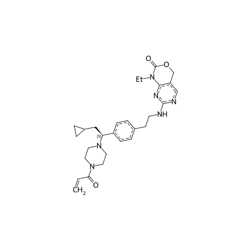 C=CC(=O)N1CCN([C@@H](CC2CC2)c2ccc(CCNc3ncc4c(n3)N(CC)C(=O)OC4)cc2)CC1